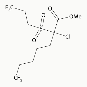 COC(=O)C(Cl)(CCCCC(F)(F)F)S(=O)(=O)CCC(F)(F)F